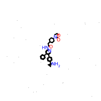 NC1(c2ccc(-c3cnc(NC(=O)CC4CCC(N5CCOC5=O)CC4)cc3-c3ccccc3)cc2)CC1